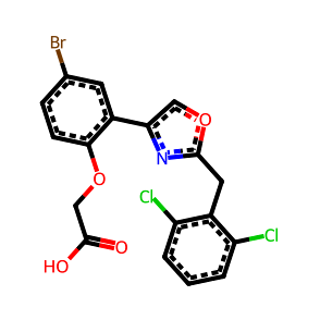 O=C(O)COc1ccc(Br)cc1-c1coc(Cc2c(Cl)cccc2Cl)n1